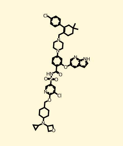 CC1(C)CCC(CN2CCN(c3ccc(C(=O)NS(=O)(=O)c4cnc(OCC5CCC(N(C6CC6)C6COC6)CC5)c(Cl)c4)c(Oc4cnc5[nH]ccc5c4)c3)CC2)=C(c2ccc(Cl)cc2)C1